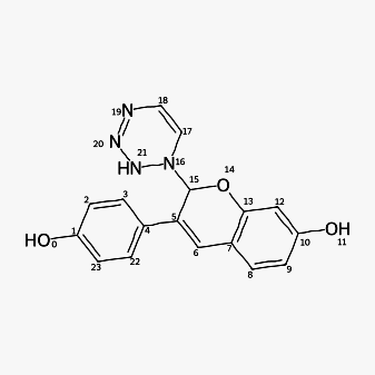 Oc1ccc(C2=Cc3ccc(O)cc3OC2N2C=CN=NN2)cc1